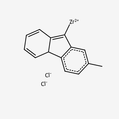 Cc1ccc2c(c1)[C]([Zr+2])=C1C=CC=CC12.[Cl-].[Cl-]